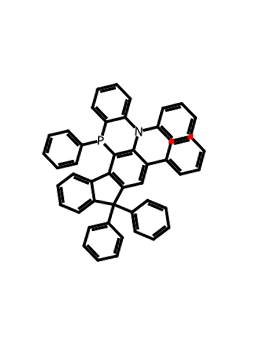 c1ccc(-c2cc3c(c4c2N(c2ccccc2)c2ccccc2P4c2ccccc2)-c2ccccc2C3(c2ccccc2)c2ccccc2)cc1